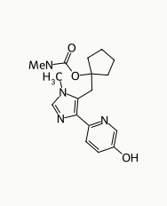 CNC(=O)OC1(Cc2c(-c3ccc(O)cn3)ncn2C)CCCC1